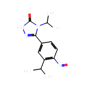 CC(C)c1cc(-c2n[nH]c(=O)n2C(C)C)ccc1N=O